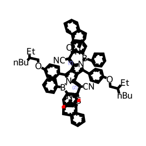 CCCCC(CC)COc1ccc(-c2c3/c(=C(\C#N)c4nc5ccc6ccccc6c5s4)n(B(c4ccccc4)c4ccccc4)c(-c4ccc(OCC(CC)CCCC)cc4)c3/c(=C(\C#N)c3nc4ccc5ccccc5c4o3)n2B(c2ccccc2)c2ccccc2)cc1